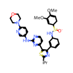 COC1=CCC([S+]([O-])NC2C=C(c3nc(C(C)C)sc3-c3ccnc(Nc4ccc(N5CCOCC5)nc4)n3)C=CC2)C=C1OC